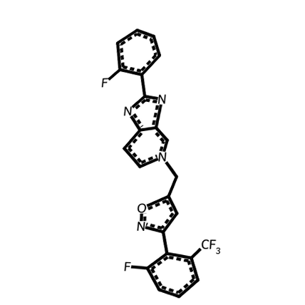 Fc1ccccc1-c1nc2ccn(Cc3cc(-c4c(F)cccc4C(F)(F)F)no3)cc-2n1